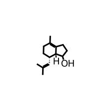 CC(C)=C[C@@H]1CCC(C)=C2CCC(O)[C@@H]21